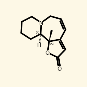 C[C@]12OC(=O)C=C1C=CCN1CCCC[C@@H]12